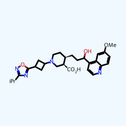 COc1ccc2nccc(C(O)CC[C@@H]3CCN(C4CC(c5nc(C(C)C)no5)C4)C[C@@H]3C(=O)O)c2c1